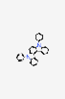 C1=c2c(n(-c3ccccc3)c3ccc4c(c5ccccc5n4-c4ccccc4)c23)=CCC1